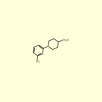 O=C(O)C1CCN(c2cccc(C(F)(F)F)n2)CC1